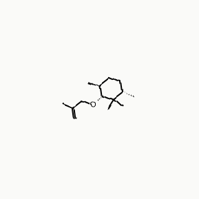 C=C(C)CO[C@@H]1[C@@H](C)CC[C@H](C)C1(C)C